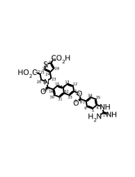 N=C(N)Nc1ccc(C(=O)Oc2ccc3cc(C(=O)N(CCC(=O)O)Cc4csc(C(=O)O)c4)ccc3c2)cc1